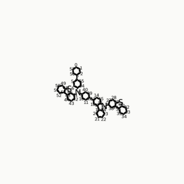 c1ccc(-c2ccc(N(c3ccc(-c4ccc5c(c4)c4ccccc4n5-c4ccc5sc6ccccc6c5c4)cc3)c3cccc4c3sc3ccccc34)cc2)cc1